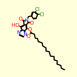 CCCCCCCCCCCCCCCCCC(=O)Oc1c2c(c(O)c3nccnc13)C(=O)N(Cc1ccc(Cl)c(Cl)c1)C2=O